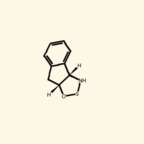 c1ccc2c(c1)C[C@H]1OSN[C@@H]21